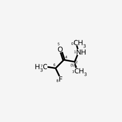 CN[C@@H](C)C(=O)C(C)F